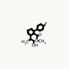 C=C(CO)c1cccc(-c2ccc(F)cc2)c1C(=O)OC